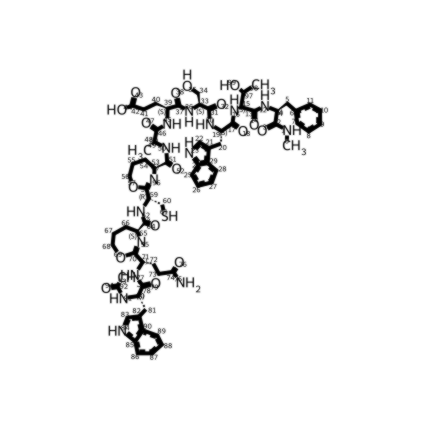 CNC(=O)[C@H](Cc1ccccc1)NC(=O)[C@@H](NC(=O)[C@H](Cc1c[nH]c2ccccc12)NC(=O)[C@H](CO)NC(=O)[C@H](CCC(=O)O)NC(=O)[C@H](C)NC(=O)[C@@H]1CCCOC([C@H](CS)NC(=O)[C@@H]2CCCOC([C@H](CCC(N)=O)NC(=O)[C@H](Cc3c[nH]c4ccccc34)NC(C)=O)=N2)=N1)C(C)O